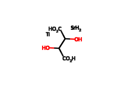 O=C(O)C(O)C(O)C(=O)O.[SrH2].[Ti]